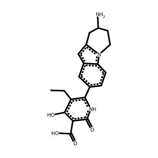 CCc1c(-c2ccc3c(c2)cc2n3CCC(N)C2)[nH]c(=O)c(C(=O)O)c1O